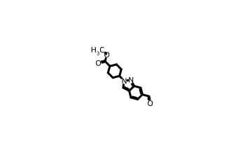 COC(=O)C1CCC(n2cc3ccc(C=O)cc3n2)CC1